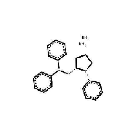 B.B.c1ccc(P(C[C@@H]2CCC[P@]2c2ccccc2)c2ccccc2)cc1